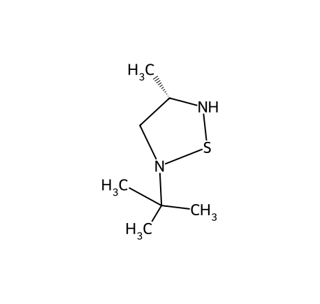 C[C@H]1CN(C(C)(C)C)SN1